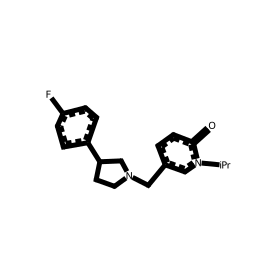 CC(C)n1cc(CN2CCC(c3ccc(F)cc3)C2)ccc1=O